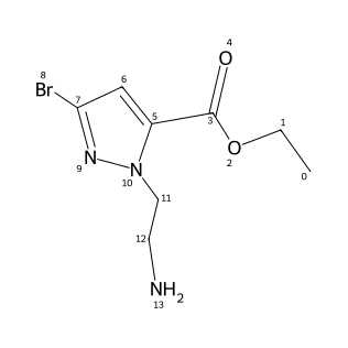 CCOC(=O)c1cc(Br)nn1CCN